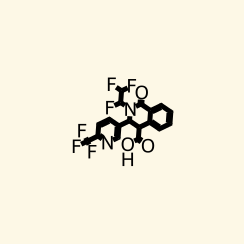 O=C(O)C1c2ccccc2C(=O)N(C(F)C(F)F)C1c1ccc(C(F)(F)F)nc1